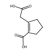 O=C(O)CC1=C(C(=O)O)CCC1